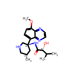 COc1ccc([C@@]2(NC(=O)[C@H](O)C(C)C)CNC[C@@H](C)C2)c2nccnc12